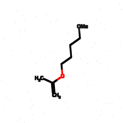 C=C(C)OCCCCOC